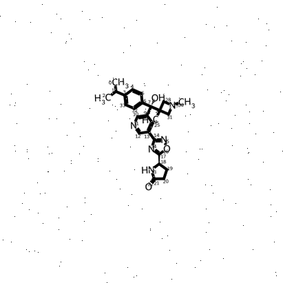 CC(C)c1ccc([C@](O)(c2cncc(-c3noc([C@H]4CCC(=O)N4)n3)c2)C2(C)CN(C)C2)cc1